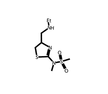 CCNCC1CSC(N(C)S(C)(=O)=O)=N1